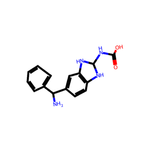 NC(c1ccccc1)c1ccc2c(c1)NC(NC(=O)O)N2